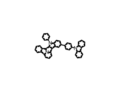 c1ccc(-n2c3ccc(-c4ccc(-n5c6ccccc6c6ccccc65)cc4)cc3c3c2c2c4ccccc4c4cccc3n42)cc1